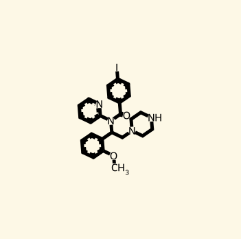 COc1ccccc1C(CN1CCNCC1)N(C(=O)c1ccc(I)cc1)c1ccccn1